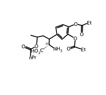 CCCC(=O)OC(C)CC(c1ccc(OC(=O)CC)c(OC(=O)CC)c1)[C@H](N)C(=O)O